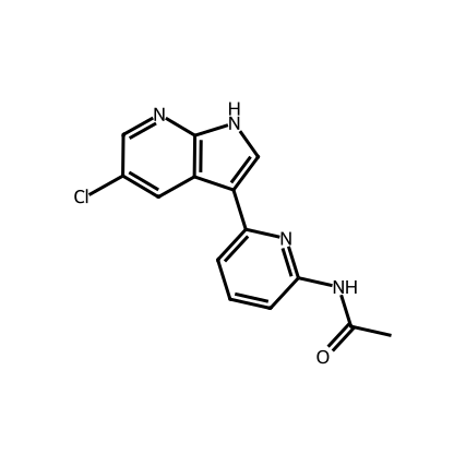 CC(=O)Nc1cccc(-c2c[nH]c3ncc(Cl)cc23)n1